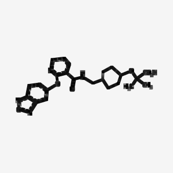 CC(C)(OC1CCC(CNC(=O)c2cccnc2Oc2ccc3nonc3c2)CC1)C(=O)O